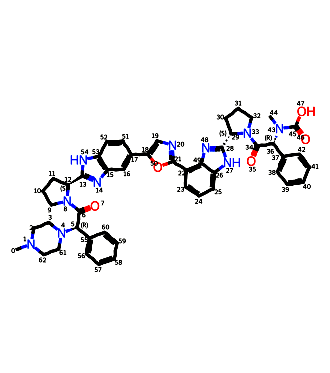 CN1CCN([C@@H](C(=O)N2CCC[C@H]2c2nc3cc(-c4cnc(-c5cccc6[nH]c([C@@H]7CCCN7C(=O)[C@@H](c7ccccc7)N(C)C(=O)O)nc56)o4)ccc3[nH]2)c2ccccc2)CC1